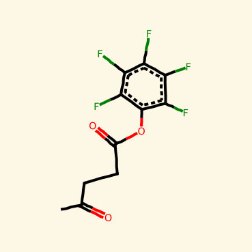 CC(=O)CCC(=O)Oc1c(F)c(F)c(F)c(F)c1F